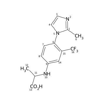 Cc1nccn1-c1ccc(NC(C)C(=O)O)cc1C(F)(F)F